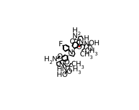 CC[C@H](C)[C@H](NC(=O)O)C(=O)N1CCC[C@@]1(C(N)=O)c1ccc([C@H]2CC[C@H](c3ccc([C@]4(C(N)=O)CCCN4C(=O)[C@@H](NC(=O)O)[C@@H](C)CC)cc3)N2c2ccc(F)cc2)cc1